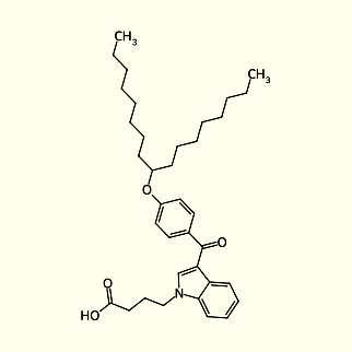 CCCCCCCCC(CCCCCCCC)Oc1ccc(C(=O)c2cn(CCCC(=O)O)c3ccccc23)cc1